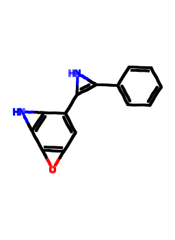 c1ccc(C2=C(c3cc4oc4c4[nH]c34)N2)cc1